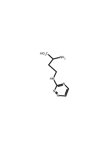 NC(CCNc1nccnn1)C(=O)O